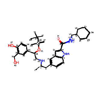 C[C@H](Cc1ccc2[nH]c(C(=O)NCC3CCCCC3)cc2c1)NC[C@H](O[Si](C)(C)C(C)(C)C)c1ccc(O)c(CO)c1